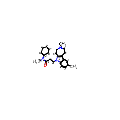 Cc1ccc2c(c1)c1c(n2CCC(=O)N(C)C2CCCCC2)CCN(C)CC1